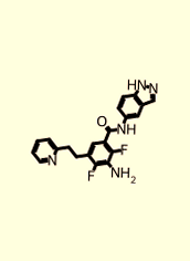 Nc1c(F)c(CCc2ccccn2)cc(C(=O)Nc2ccc3[nH]ncc3c2)c1F